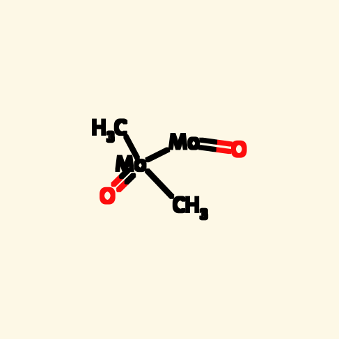 [CH3][Mo]([CH3])(=[O])[Mo]=[O]